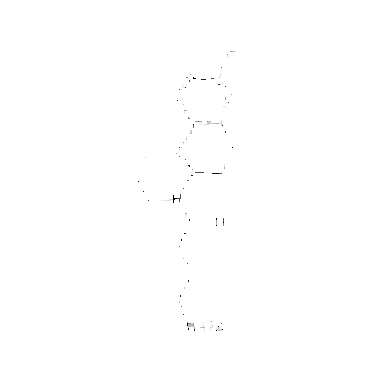 CC(=O)NCCCC(=O)N1CCCC2=C1CCc1cc(Cl)ccc12